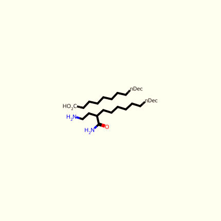 CCCCCCCCCCCCCCCCC(CCN)C(N)=O.CCCCCCCCCCCCCCCCCC(=O)O